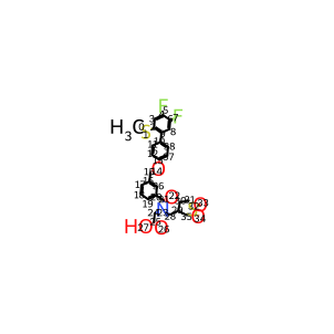 CSc1cc(F)c(F)cc1-c1ccc(OCc2cccc(C(=O)N(CC(=O)O)CC3CCS(=O)(=O)C3)c2)cc1